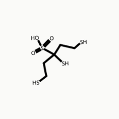 O=S(=O)(O)C(S)(CCS)CCS